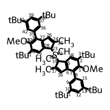 COc1c(C(C)(C)C)cc2c(c1-c1cc(C(C)(C)C)cc(C(C)(C)C)c1)C=C(C)C2S(C)(C)C1C(C)=Cc2c1cc(C(C)(C)C)c(OC)c2-c1cc(C(C)(C)C)cc(C(C)(C)C)c1